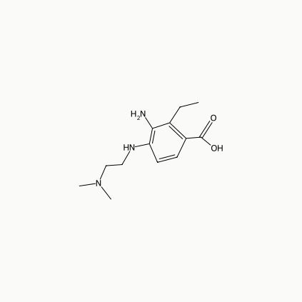 CCc1c(C(=O)O)ccc(NCCN(C)C)c1N